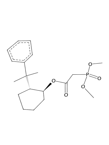 COP(=O)(CC(=O)O[C@H]1CCCC[C@@H]1C(C)(C)c1ccccc1)OC